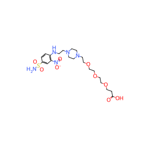 NS(=O)(=O)c1ccc(NCCN2CCN(CCOCCOCCOCCC(=O)O)CC2)c([N+](=O)[O-])c1